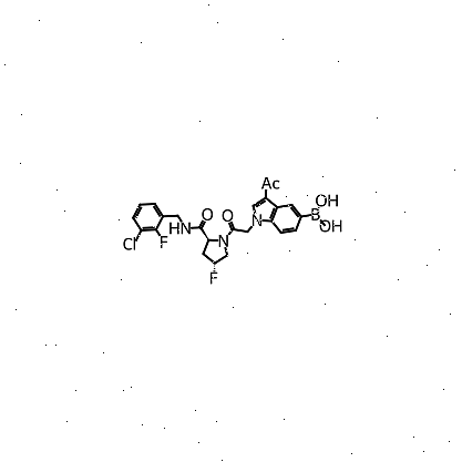 CC(=O)c1cn(CC(=O)N2C[C@H](F)C[C@H]2C(=O)NCc2cccc(Cl)c2F)c2ccc(B(O)O)cc12